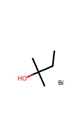 CCC(C)(C)O.[Bi]